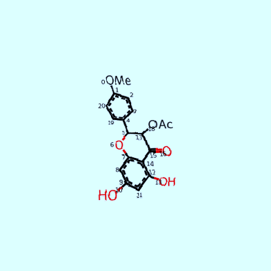 COc1ccc(C2Oc3cc(O)cc(O)c3C(=O)C2OC(C)=O)cc1